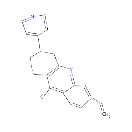 C=Cc1ccc2c(Cl)c3c(nc2c1)CC(c1ccncc1)CC3